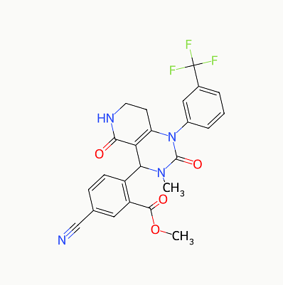 COC(=O)c1cc(C#N)ccc1C1C2=C(CCNC2=O)N(c2cccc(C(F)(F)F)c2)C(=O)N1C